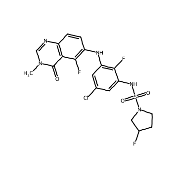 Cn1cnc2ccc(Nc3cc(Cl)cc(NS(=O)(=O)N4CCC(F)C4)c3F)c(F)c2c1=O